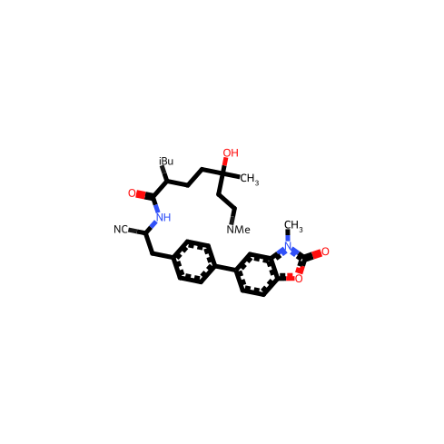 CCC(C)C(CCC(C)(O)CCNC)C(=O)NC(C#N)Cc1ccc(-c2ccc3oc(=O)n(C)c3c2)cc1